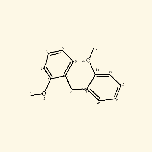 COc1ccccc1Cc1ccccc1OC